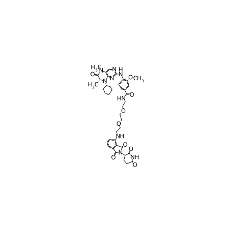 COc1cc(C(=O)NCCOCCOCCNc2cccc3c2C(=O)N(C2CCC(=O)NC2=O)C3=O)ccc1Nc1ncc2c(n1)N(C1CCCCC1)[C@H](C)C(=O)N2C